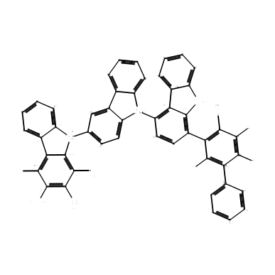 Bc1c(B)c(-c2ccccc2)c(B)c(-c2ccc(-n3c4ccccc4c4cc(-n5c6ccccc6c6c(B)c(B)c(B)c(B)c65)ccc43)c3c2sc2ccccc23)c1B